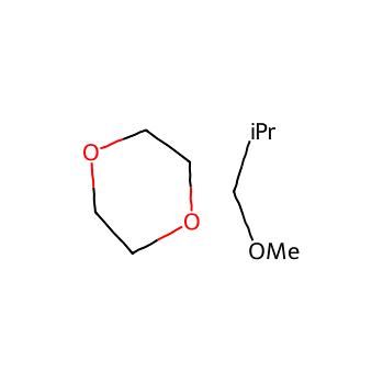 C1COCCO1.COCC(C)C